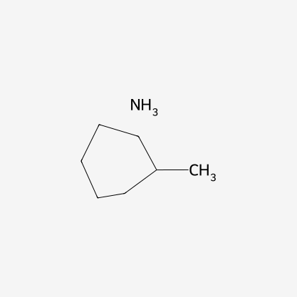 CC1CCCCC1.N